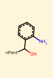 CCCCCC(O)c1ccccc1N